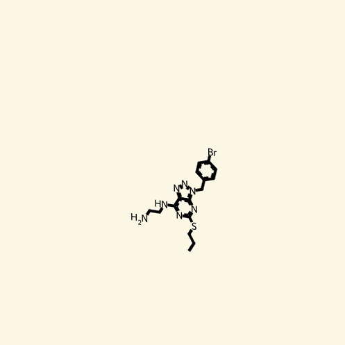 CCCSc1nc(NCCN)c2nnn(Cc3ccc(Br)cc3)c2n1